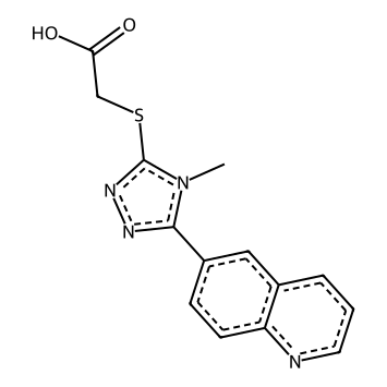 Cn1c(SCC(=O)O)nnc1-c1ccc2ncccc2c1